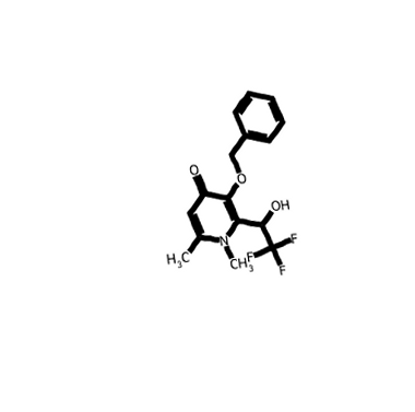 Cc1cc(=O)c(OCc2ccccc2)c(C(O)C(F)(F)F)n1C